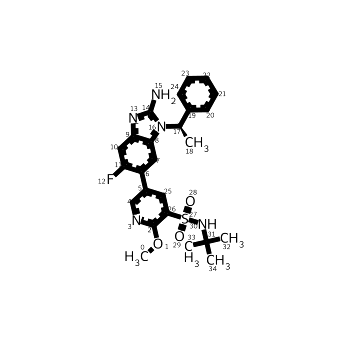 COc1ncc(-c2cc3c(cc2F)nc(N)n3[C@H](C)c2ccccc2)cc1S(=O)(=O)NC(C)(C)C